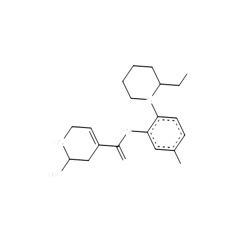 CC1CC(C(=S)Nc2cc(F)ccc2N2CCCCC2CO)=CCN1